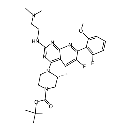 COc1cccc(F)c1-c1nc2nc(NCCN(C)C)nc(N3CCN(C(=O)OC(C)(C)C)C[C@H]3C)c2cc1F